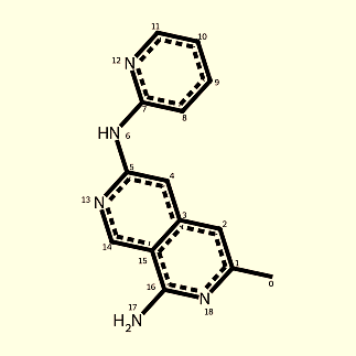 Cc1cc2cc(Nc3ccccn3)ncc2c(N)n1